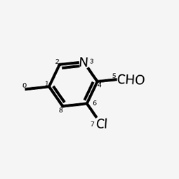 Cc1cnc(C=O)c(Cl)c1